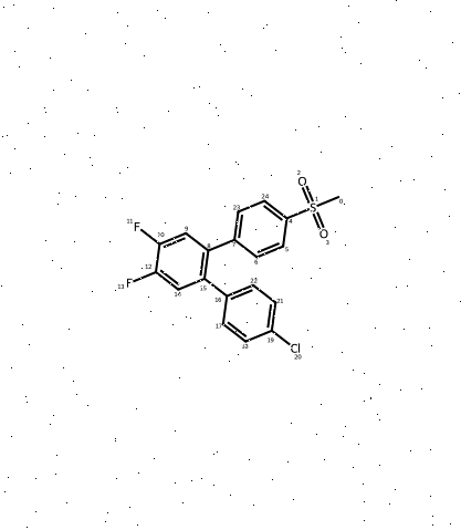 CS(=O)(=O)c1ccc(-c2cc(F)c(F)cc2-c2ccc(Cl)cc2)cc1